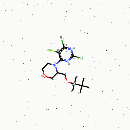 CC(C)(C)[Si](C)(C)OCC1COCCN1c1nc(Cl)nc(Cl)c1F